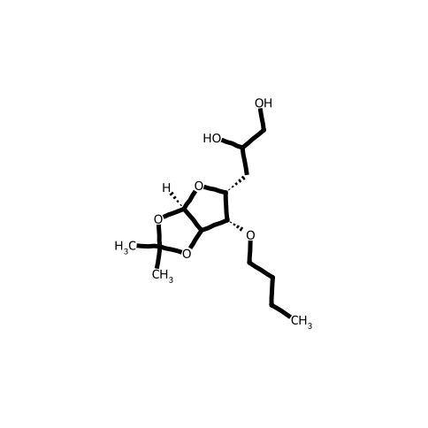 CCCCO[C@@H]1C2OC(C)(C)O[C@H]2O[C@@H]1CC(O)CO